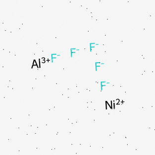 [Al+3].[F-].[F-].[F-].[F-].[F-].[Ni+2]